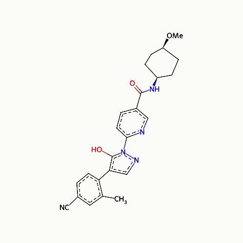 CO[C@H]1CC[C@@H](NC(=O)c2ccc(-n3ncc(-c4ccc(C#N)cc4C)c3O)nc2)CC1